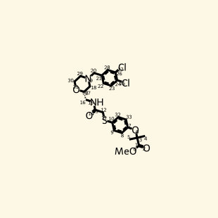 COC(=O)C(C)(C)Oc1ccc(SCC(=O)NC[C@H]2CN(Cc3ccc(Cl)c(Cl)c3)CCO2)cc1